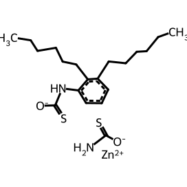 CCCCCCc1cccc(NC([O-])=S)c1CCCCCC.NC([O-])=S.[Zn+2]